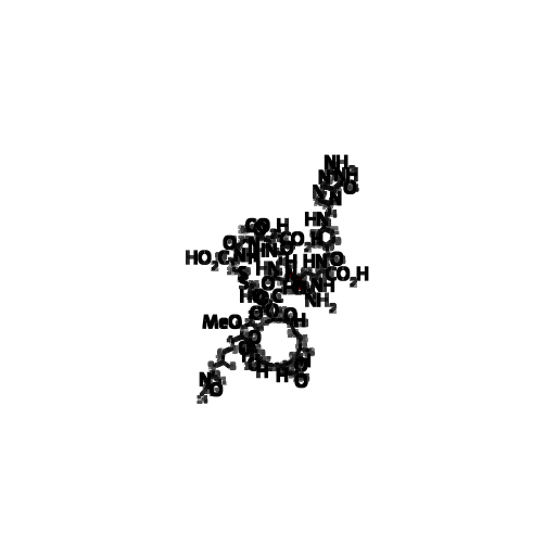 CO[C@@H](/C(C)=C/C=C/C(C)=C/c1coc(C)n1)[C@@H](C)[C@@H]1C[C@H](OC(=O)OCCSSC[C@H](NC(=O)[C@H](CC(=O)O)NC(=O)[C@H](CC(=O)O)NC(=O)[C@H](CCCNC(=N)N)NC(=O)C(CC(=O)O)NC(=O)CC[C@H](NC(=O)c2ccc(NCc3cnc4nc(N)[nH]c(=O)c4n3)cc2)C(=O)O)C(=O)O)[C@@]2(C)O[C@@H]2/C=C/[C@@H](C)[C@H]2C[C@H](CC(=O)O2)C[C@@H]2O[C@H]2C(=O)O1